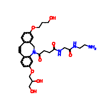 NCCNC(=O)CNC(=O)CCC(=O)N1Cc2cc(OCCCO)ccc2C#Cc2ccc(OC[C@@H](O)CO)cc21